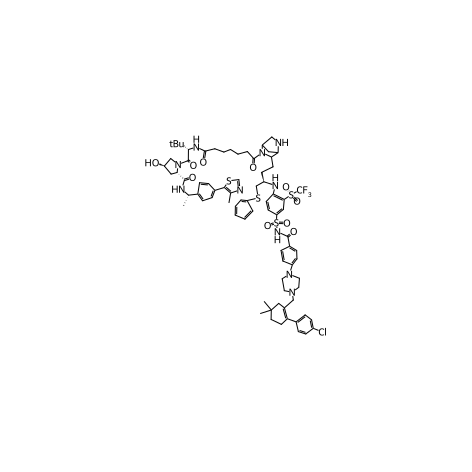 Cc1ncsc1-c1ccc([C@H](C)NC(=O)[C@@H]2C[C@@H](O)CN2C(=O)[C@@H](NC(=O)CCCCCC(=O)N2C3CNC(C3)C2CC[C@H](CSc2ccccc2)Nc2ccc(S(=O)(=O)NC(=O)c3ccc(N4CCN(CC5=C(c6ccc(Cl)cc6)CCC(C)(C)C5)CC4)cc3)cc2S(=O)(=O)C(F)(F)F)C(C)(C)C)cc1